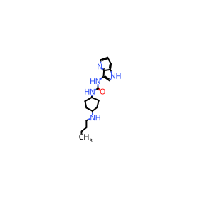 CCCCNC1CCC(NC(=O)Nc2c[nH]c3cccnc23)CC1